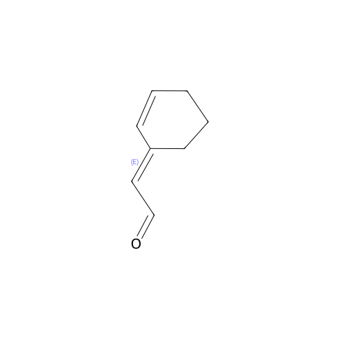 O=C/C=C1/C=CCCC1